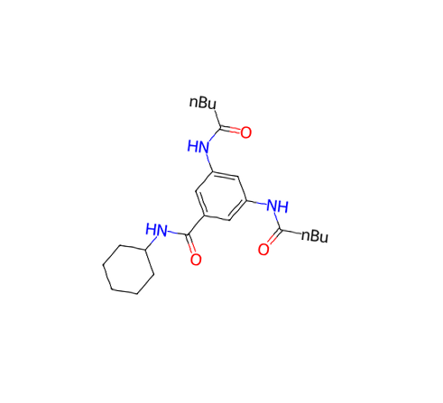 CCCCC(=O)Nc1cc(NC(=O)CCCC)cc(C(=O)NC2CCCCC2)c1